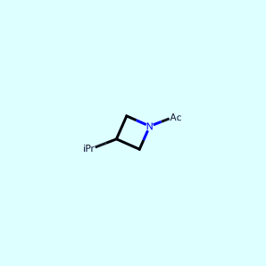 CC(=O)N1CC(C(C)C)C1